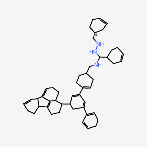 C1=CC(C2=CC(C3=CCC(CNC(NNC[C@@H]4CC=CCC4)C4CC=CCC4)CC3)=CC(C3CCC4=C5C(=CCCC53)C3C=CCCC43)C2)=CCC1